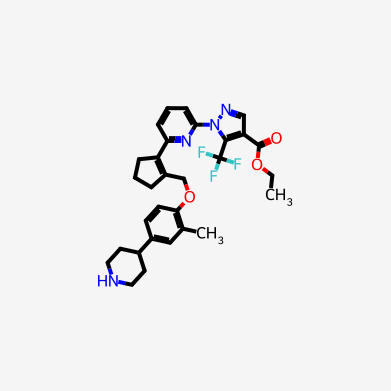 CCOC(=O)c1cnn(-c2cccc(C3=C(COc4ccc(C5CCNCC5)cc4C)CCC3)n2)c1C(F)(F)F